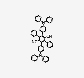 N#Cc1c(-c2ccccc2)c(-c2ccc(N(c3ccccc3)c3ccccc3)cc2)c(C#N)c(-c2ccccc2)c1-c1ccc(N(c2ccccc2)c2ccccc2)cc1